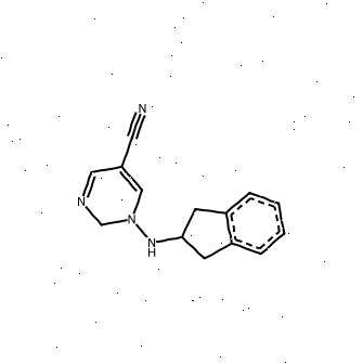 N#CC1=CN(NC2Cc3ccccc3C2)CN=C1